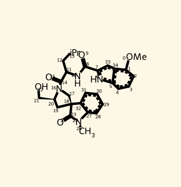 COc1cccc2[nH]c(C(=O)NC(CC(C)C)C(=O)N3C[C@]4(C[C@H]3CO)C(=O)N(C)c3ccccc34)cc12